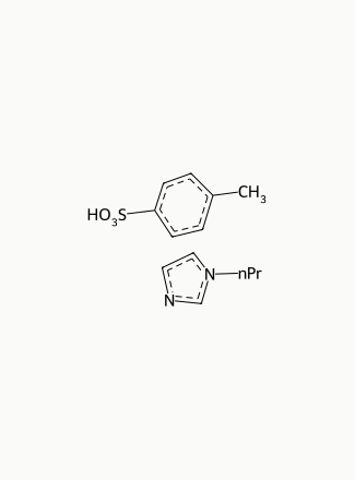 CCCn1ccnc1.Cc1ccc(S(=O)(=O)O)cc1